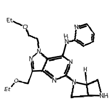 CCOCCn1nc(COCC)c2nc(N3CC4NC[C@H]43)nc(Nc3ccccn3)c21